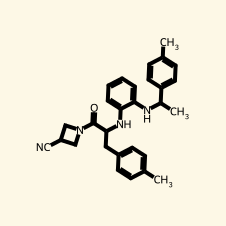 Cc1ccc(CC(Nc2ccccc2NC(C)c2ccc(C)cc2)C(=O)N2CC(C#N)C2)cc1